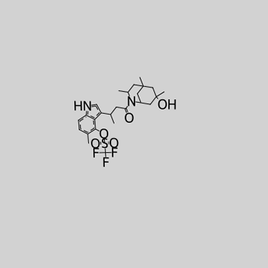 Cc1ccc2[nH]cc(C(C)CC(=O)N3C(C)CC4(C)CC3CC(C)(O)C4)c2c1OS(=O)(=O)C(F)(F)F